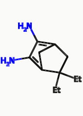 CCC1(CC)CC2=C(N)C(N)=C1C2